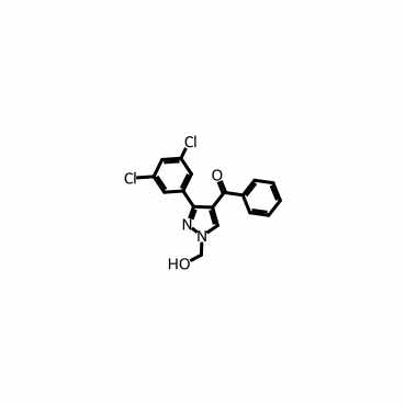 O=C(c1ccccc1)c1cn(CO)nc1-c1cc(Cl)cc(Cl)c1